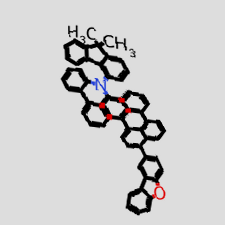 CC1(C)c2ccccc2-c2c(N(c3ccc(-c4ccc(-c5ccc6oc7ccccc7c6c5)c5cccc(-c6ccccc6)c45)cc3)c3ccccc3-c3ccccc3)cccc21